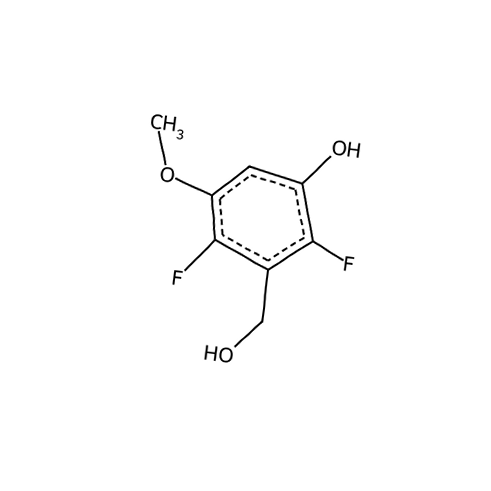 COc1cc(O)c(F)c(CO)c1F